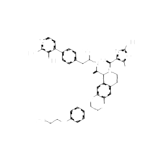 Cc1nc(C(=O)N2CCc3cc4c(cc3C2C(=O)NC(Cc2ccc(-c3ccnc(C)c3C)cc2)C(=O)O)O[C@@H](c2ccc(OCCC(C)(C)C)cc2)CO4)c(C)o1